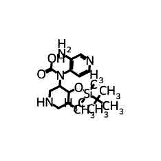 CC1CNCC(N(C(=O)O)c2ccncc2N)C1O[Si](C)(C)C(C)(C)C